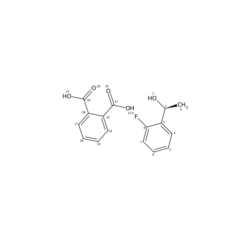 C[C@H](O)c1ccccc1F.O=C(O)c1ccccc1C(=O)O